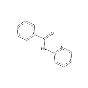 O=C(Nc1ccccn1)c1cc[c]cc1